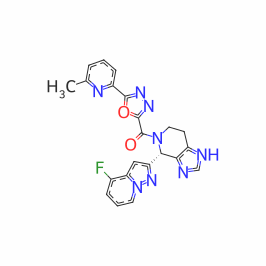 Cc1cccc(-c2nnc(C(=O)N3CCc4[nH]cnc4[C@@H]3c3cc4c(F)cccn4n3)o2)n1